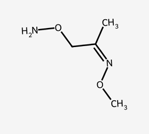 CON=C(C)CON